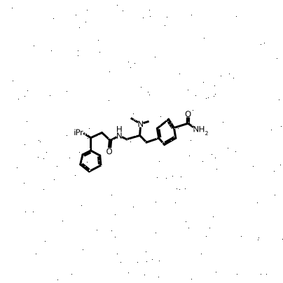 CC(C)C(CC(=O)NCC(Cc1ccc(C(N)=O)cc1)N(C)C)c1ccccc1